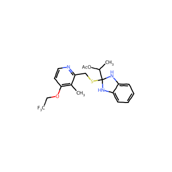 CC(=O)OC(C)C1(SCc2nccc(OCC(F)(F)F)c2C)Nc2ccccc2N1